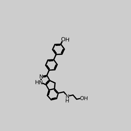 OCCNCc1cccc2c1Cc1c(-c3ccc(-c4ccc(O)cc4)cc3)n[nH]c1-2